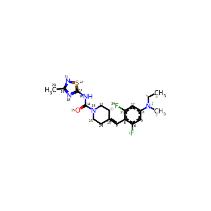 CCN(C)c1cc(F)c(C=C2CCN(C(=O)Nc3nc(C)ns3)CC2)c(F)c1